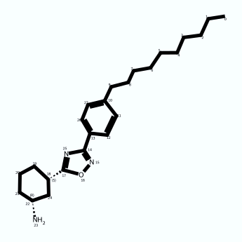 CCCCCCCCCCc1ccc(-c2noc([C@H]3CCC[C@@H](N)C3)n2)cc1